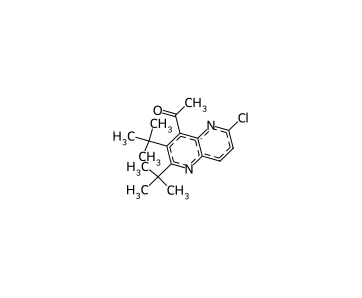 CC(=O)c1c(C(C)(C)C)c(C(C)(C)C)nc2ccc(Cl)nc12